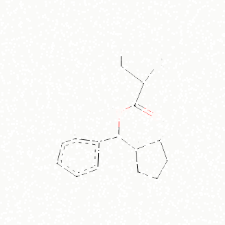 CC(C)(C)CC(C(=O)OC(c1ccccc1)C1CCCC1)C(C)(C)C